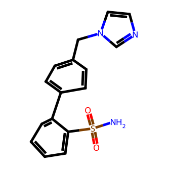 NS(=O)(=O)c1ccccc1-c1ccc(Cn2ccnc2)cc1